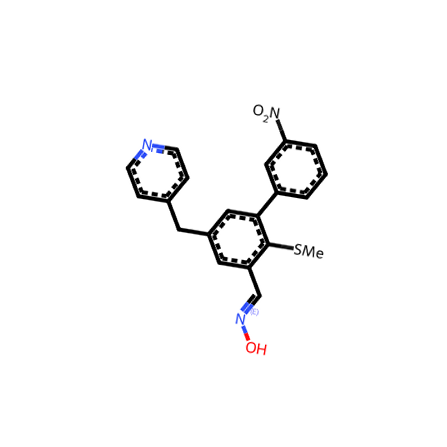 CSc1c(/C=N/O)cc(Cc2ccncc2)cc1-c1cccc([N+](=O)[O-])c1